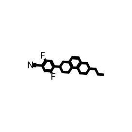 CCCC1CCc2c(ccc3c2CCC(c2cc(F)c(C#N)cc2F)C3)C1